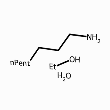 CCCCCCCCN.CCO.O